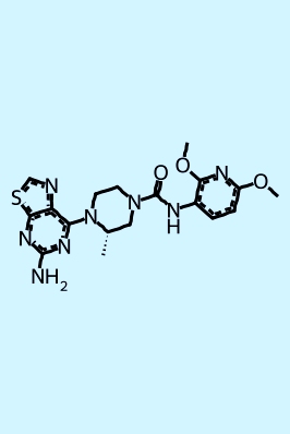 COc1ccc(NC(=O)N2CCN(c3nc(N)nc4scnc34)[C@@H](C)C2)c(OC)n1